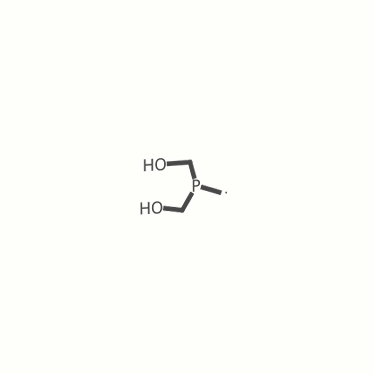 [CH2]P(CO)CO